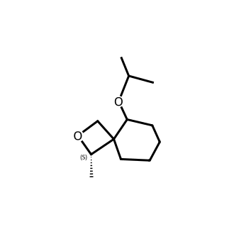 CC(C)OC1CCCCC12CO[C@H]2C